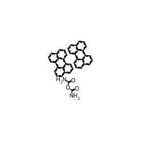 NC(=O)OC(N)=O.c1cc2cccc3c4cccc5cccc(c(c1)c23)c54.c1cc2cccc3c4cccc5cccc(c(c1)c23)c54